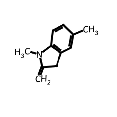 C=C1Cc2cc(C)ccc2N1C